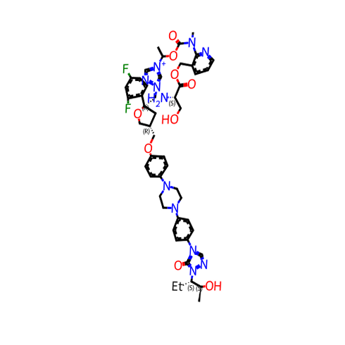 CC[C@@H]([C@H](C)O)n1ncn(-c2ccc(N3CCN(c4ccc(OC[C@@H]5CO[C@@](Cn6c[n+](C(C)OC(=O)N(C)c7ncccc7COC(=O)[C@@H](N)CO)cn6)(c6ccc(F)cc6F)C5)cc4)CC3)cc2)c1=O